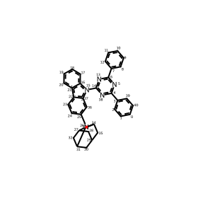 c1ccc(-c2nc(-c3ccccc3)nc(-n3c4ccccc4c4ccc(N5C6CC7CC(C6)CC5C7)cc43)n2)cc1